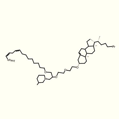 CCCCC/C=C\C/C=C\CCCCCCCCOCC(CN1CCCC(C)C1)OCCOCCO[C@H]1CC[C@@]2(C)C(=CCC3C2CC[C@@]2(C)C3CC[C@@H]2[C@H](C)CCCC(C)C)C1